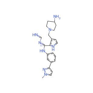 Cn1ccc(-c2cccc(N/C(=N/C=N)c3[nH]ccc3CN3CCC(N)CC3)c2)n1